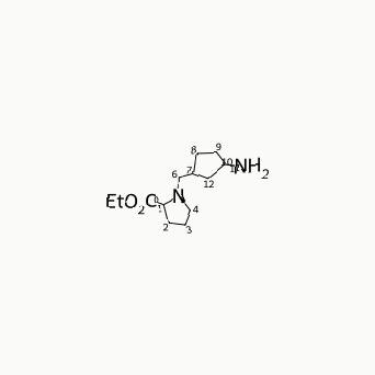 CCOC(=O)C1CCCN1CC1CCC(N)C1